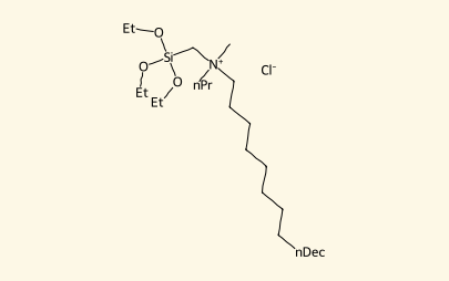 CCCCCCCCCCCCCCCCCC[N+](C)(CCC)C[Si](OCC)(OCC)OCC.[Cl-]